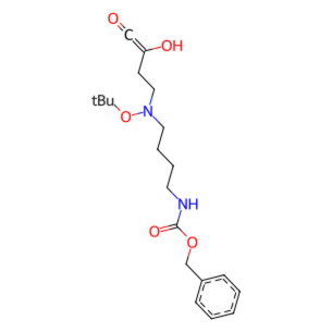 CC(C)(C)ON(CCCCNC(=O)OCc1ccccc1)CCC(O)=C=O